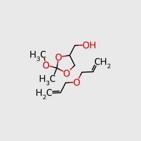 C=CCOCC=C.COC1(C)OCC(CO)O1